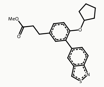 COC(=O)CCc1ccc(OC2CCCC2)c(-c2ccc3nscc3c2)c1